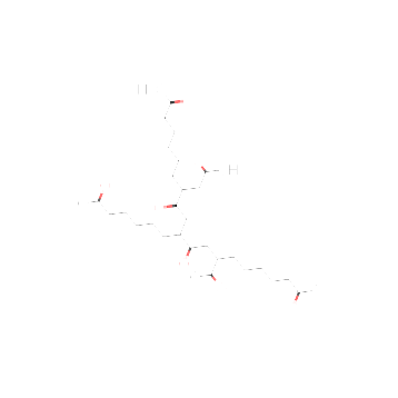 CC(=O)CCCCCC(CC(=O)C(CCCCCC(C)=O)CC(=O)C(CCCCCC(C)=O)CC(C)=O)C(C)=O